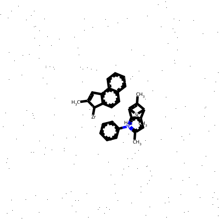 CC1=C2c3c(cc(C)n3-c3ccccc3)C1[Si]2(C)C.CC1=Cc2c(ccc3ccccc23)[CH]1[Zr]